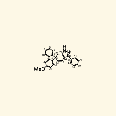 COc1ccc(C2(c3ccccc3)C=Cc3c(-c4ccccc4)n[nH]c3C2)cc1